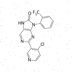 O=c1[nH]c2cnc(-c3cnccc3Cl)nc2n1-c1ccccc1C(F)(F)F